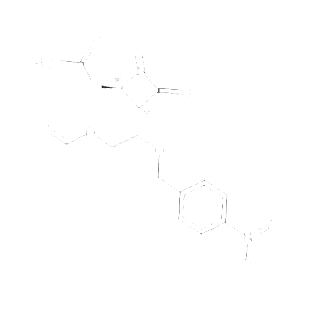 CC(=O)O[C@H]1NC(=O)[C@@H]1C(COC=O)OCc1ccc([N+](=O)[O-])cc1